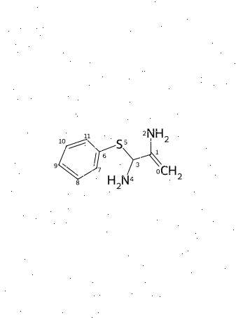 C=C(N)C(N)Sc1ccccc1